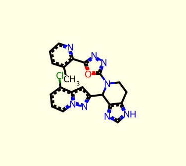 Cc1cccnc1-c1nnc(N2CCc3[nH]cnc3C2c2cc3c(Cl)cccn3n2)o1